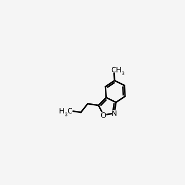 CCCc1onc2ccc(C)cc12